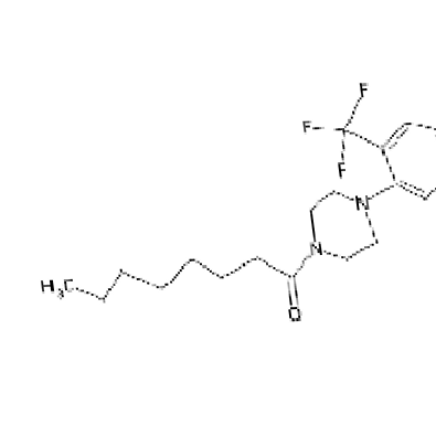 CCCCCCCC(=O)N1CCN(c2ccccc2C(F)(F)F)CC1